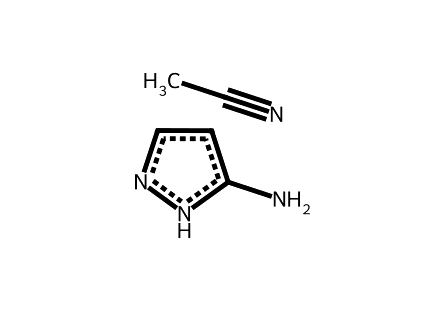 CC#N.Nc1ccn[nH]1